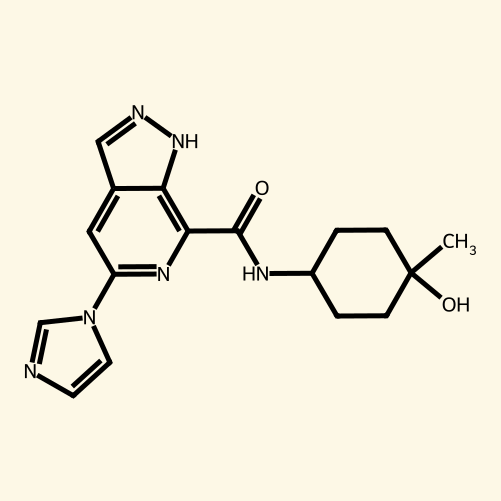 CC1(O)CCC(NC(=O)c2nc(-n3ccnc3)cc3cn[nH]c23)CC1